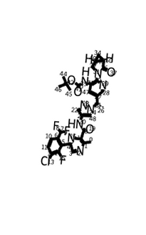 Cc1ncc(-c2c(C(F)F)ccc(Cl)c2F)nc1C(=O)Nc1cnn([C@@H](C)c2cnc(N3C[C@H]4C[C@H]4C3=O)c(NC(=O)OC(C)(C)C)c2)c1